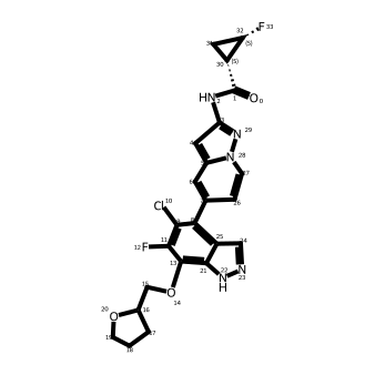 O=C(Nc1cc2cc(-c3c(Cl)c(F)c(OCC4CCCO4)c4[nH]ncc34)ccn2n1)[C@@H]1C[C@@H]1F